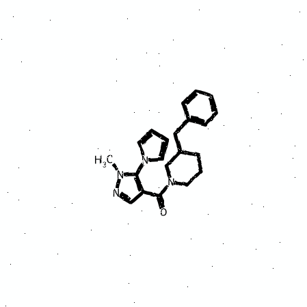 Cn1ncc(C(=O)N2CCCC(Cc3ccccc3)C2)c1-n1cccc1